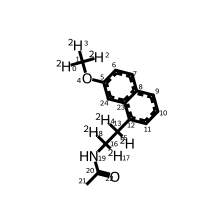 [2H]C([2H])([2H])Oc1ccc2cccc(C([2H])([2H])C([2H])([2H])NC(C)=O)c2c1